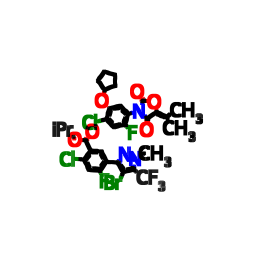 CC(C)=C1OC(=O)N(c2cc(OC3CCCC3)c(Cl)cc2F)C1=O.CC(C)OC(=O)c1cc(-c2nn(C)c(C(F)(F)F)c2Br)c(F)cc1Cl